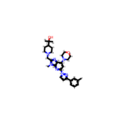 Cc1cccc(-c2ccn(-c3cc(N4CCOCC4)c4nc(CN5CCC(C(C)(C)O)CC5)n(C)c4n3)n2)c1